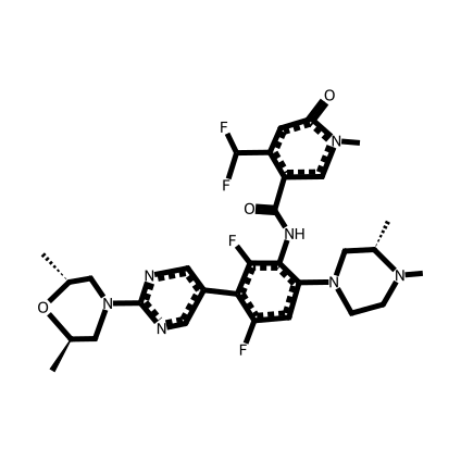 C[C@@H]1CN(c2ncc(-c3c(F)cc(N4CCN(C)[C@@H](C)C4)c(NC(=O)c4cn(C)c(=O)cc4C(F)F)c3F)cn2)C[C@@H](C)O1